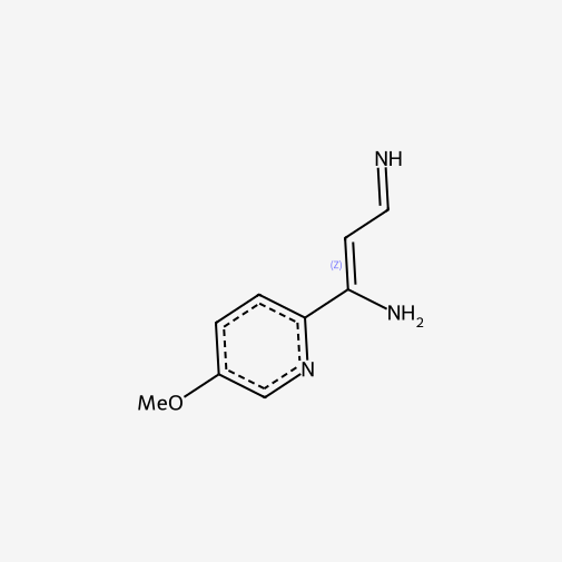 COc1ccc(/C(N)=C/C=N)nc1